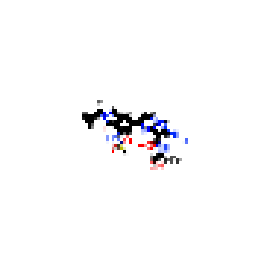 CCC[C@H](CO)NC(O)c1c(N)nn2ccc(-c3cc4c(c(NS(C)(=O)=O)c3)C(=O)N([C@@H](C)C3CC3)C4)nc12